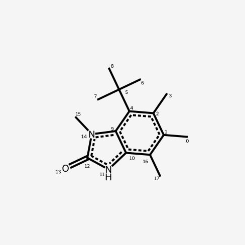 Cc1c(C)c(C(C)(C)C)c2c([nH]c(=O)n2C)c1C